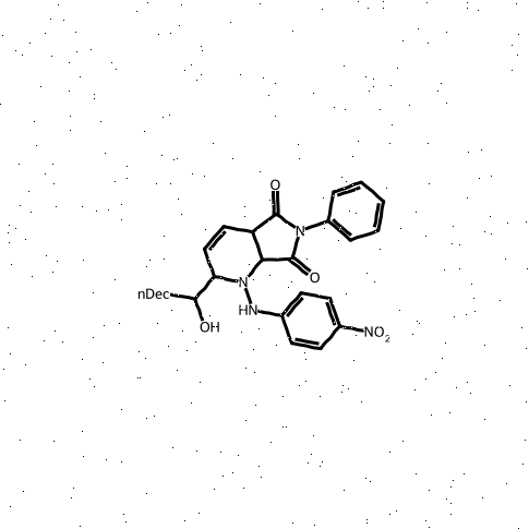 CCCCCCCCCCC(O)C1C=CC2C(=O)N(c3ccccc3)C(=O)C2N1Nc1ccc([N+](=O)[O-])cc1